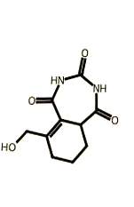 O=C1NC(=O)C2=C(CO)CCCC2C(=O)N1